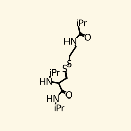 CC(C)NC(=O)C(CSSCCNC(=O)C(C)C)NC(C)C